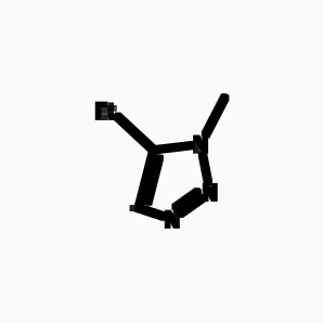 CCc1[c]nnn1C